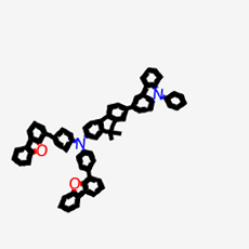 CC1(C)c2cc(-c3ccc4c(c3)c3ccccc3n4-c3ccccc3)ccc2-c2ccc(N(c3ccc(-c4cccc5c4oc4ccccc45)cc3)c3ccc(-c4cccc5c4oc4ccccc45)cc3)cc21